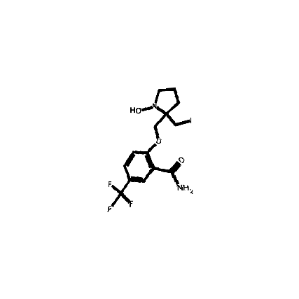 NC(=O)c1cc(C(F)(F)F)ccc1OCC1(CI)CCCN1O